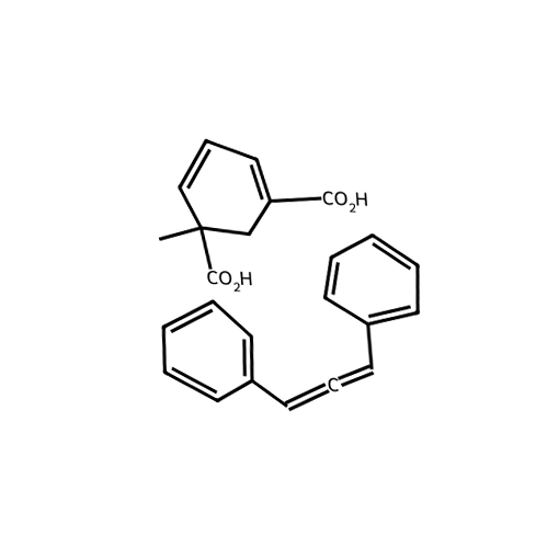 C(=Cc1ccccc1)=Cc1ccccc1.CC1(C(=O)O)C=CC=C(C(=O)O)C1